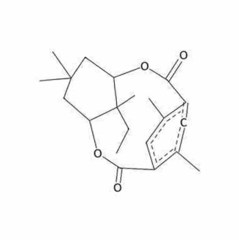 CCC1(C)C2CC(C)(C)CC1OC(=O)c1cc(C)c(cc1C)C(=O)O2